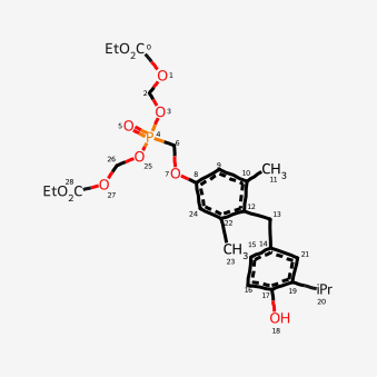 CCOC(=O)OCOP(=O)(COc1cc(C)c(Cc2ccc(O)c(C(C)C)c2)c(C)c1)OCOC(=O)OCC